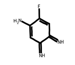 N=C1C=C(N)C(F)=CC1=N